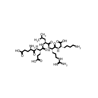 CC(C)C[C@H](NC(=O)[C@H](CCC(=O)O)NC(=O)[C@H](N)CCC(=O)O)C(=O)N[C@@H](CCCNC(=N)N)C(=O)N[C@@H](CCCCN)C(=O)O